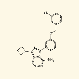 Nc1nccn2c(C3CCC3)nc(-c3cccc(OCc4cccc(Cl)c4)c3)c12